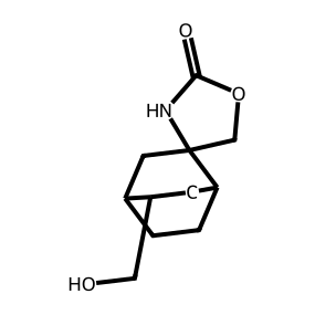 O=C1NC2(CO1)CC1CCC2CC1CO